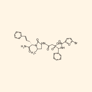 CC1C[C@H](NC(=O)CP(=O)(O)C(NC(=O)c2ccc(Br)o2)c2ccccc2)C(=O)N1[C@@H](C/C=C/c1ccccc1)C(N)=O